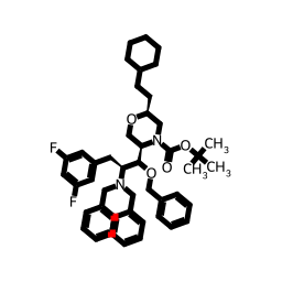 CC(C)(C)OC(=O)N1C[C@H](CCC2CCCCC2)OC[C@@H]1C(OCc1ccccc1)[C@H](Cc1cc(F)cc(F)c1)N(Cc1ccccc1)Cc1ccccc1